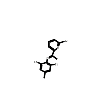 CCc1cc(C)cc(CC)c1N=C(C)c1cccc(C(C)=O)n1